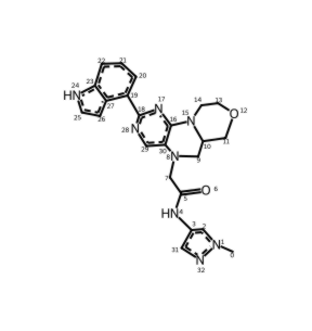 Cn1cc(NC(=O)CN2CC3COCCN3c3nc(-c4cccc5[nH]ccc45)ncc32)cn1